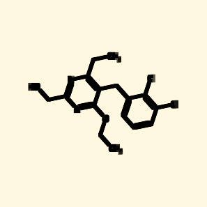 CCOc1nc(CO)nc(CC)c1Cc1cccc(Cl)c1Cl